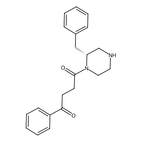 O=C(CCC(=O)N1CCNC[C@H]1Cc1ccccc1)c1ccccc1